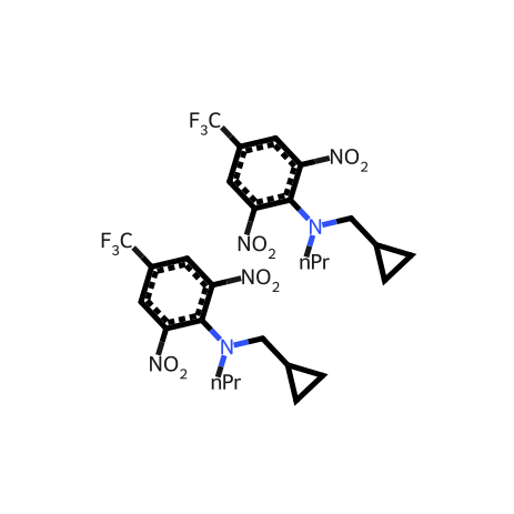 CCCN(CC1CC1)c1c([N+](=O)[O-])cc(C(F)(F)F)cc1[N+](=O)[O-].CCCN(CC1CC1)c1c([N+](=O)[O-])cc(C(F)(F)F)cc1[N+](=O)[O-]